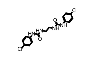 O=C(NCCNC(=O)Nc1ccc(Cl)cc1)Nc1ccc(Cl)cc1